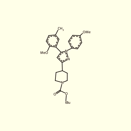 COc1ccc(-n2nc(C3CCN(C(=O)OC(C)(C)C)CC3)cc2-c2cc(C)ccc2OC)cc1